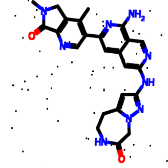 Cc1c(-c2cc3cc(Nc4cc5n(n4)CC(=O)NCC5)ncc3c(N)n2)cnc2c1CN(C)C2=O